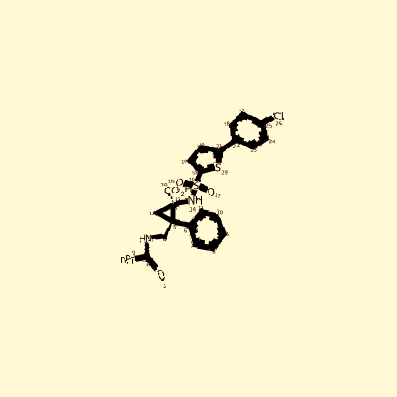 CCCC(=O)NC[C@@]1(c2ccccc2)C[C@]1(NS(=O)(=O)c1ccc(-c2ccc(Cl)cc2)s1)C(=O)O